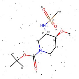 CO[C@H]1CCN(C(=O)OC(C)(C)C)C[C@@H]1NS(C)(=O)=O